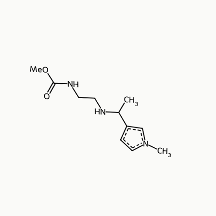 COC(=O)NCCNC(C)c1ccn(C)c1